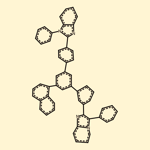 c1ccc(-c2c(-c3cccc(-c4cc(-c5ccc(-c6nc7ccccc7n6-c6ccccc6)cc5)cc(-c5cccc6ccccc56)c4)c3)nc3ccccn23)cc1